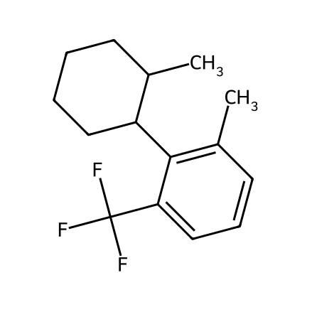 Cc1cccc(C(F)(F)F)c1C1CCCCC1C